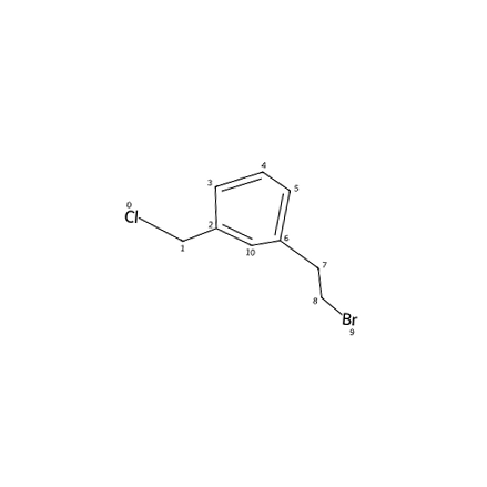 ClCc1cccc(CCBr)c1